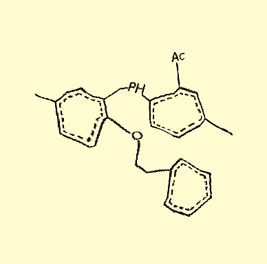 CC(=O)c1cc(C)ccc1Pc1cc(C)ccc1OCc1ccccc1